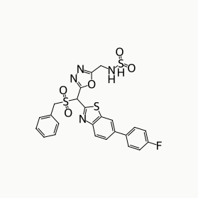 O=[SH](=O)NCc1nnc(C(c2nc3ccc(-c4ccc(F)cc4)cc3s2)S(=O)(=O)Cc2ccccc2)o1